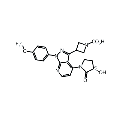 O=C(O)N1CC(c2nn(-c3ccc(OC(F)(F)F)cc3)c3nccc(N4CC[C@H](O)C4=O)c23)C1